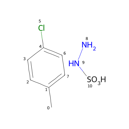 Cc1ccc(Cl)cc1.NNS(=O)(=O)O